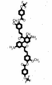 COc1cc(C=CC(=O)c2cc(N)ccc2-c2ccc(N)c(C)c2C(=O)C=Cc2ccc(OC(=O)c3ccc(OC(F)(F)F)cc3)c(OC)c2)ccc1OC(=O)c1ccc(OC(F)(F)F)cc1